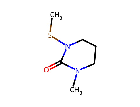 CSN1CCCN(C)C1=O